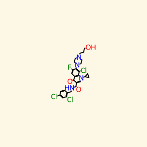 O=C(NCc1ccc(Cl)cc1Cl)c1cn(C2CC2)c2c(Cl)c(N3CCN(CCCO)CC3)c(F)cc2c1=O